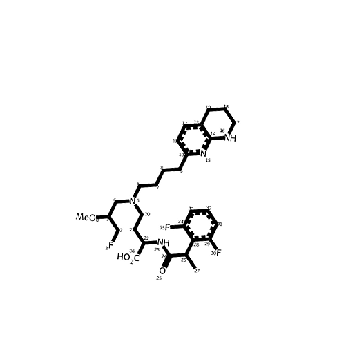 COC(CF)CN(CCCCc1ccc2c(n1)NCCC2)CCC(NC(=O)C(C)c1c(F)cccc1F)C(=O)O